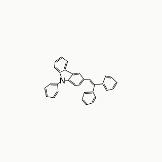 C(=C(c1ccccc1)c1ccccc1)c1ccc2c(c1)c1ccccc1n2-c1ccccc1